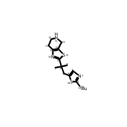 CC(C)(C)c1ncc(CC(C)(C)c2nc3c(s2)CNCC3)s1